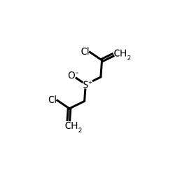 C=C(Cl)C[S+]([O-])CC(=C)Cl